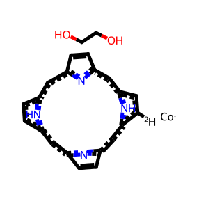 OCCO.[2H]c1cc2cc3nc(cc4ccc(cc5nc(cc1[nH]2)C=C5)[nH]4)C=C3.[Co]